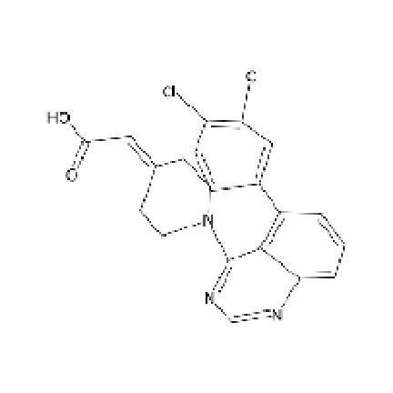 O=C(O)C=C1CCN(c2ncnc3cccc(-c4ccc(Cl)c(Cl)c4)c23)CC1